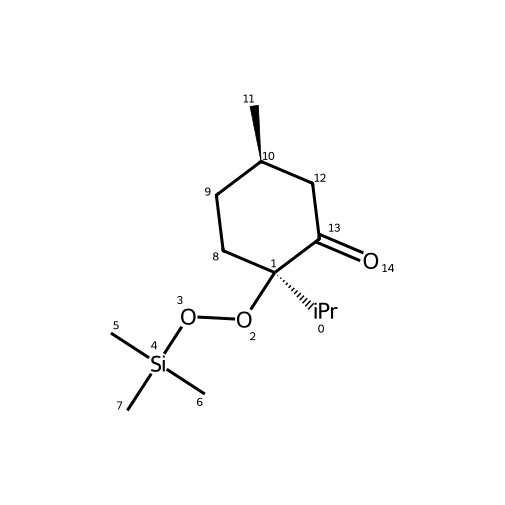 CC(C)[C@]1(OO[Si](C)(C)C)CC[C@@H](C)CC1=O